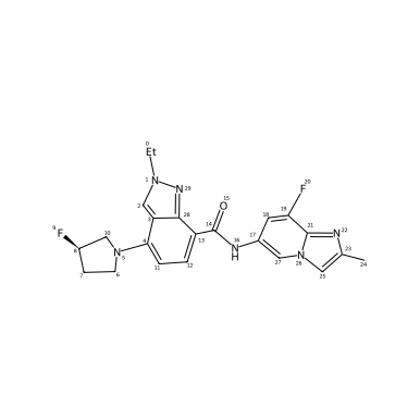 CCn1cc2c(N3CC[C@@H](F)C3)ccc(C(=O)Nc3cc(F)c4nc(C)cn4c3)c2n1